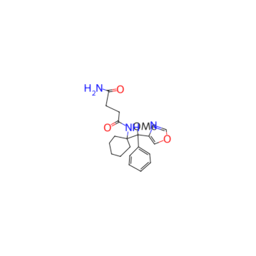 COC(c1ccccc1)(c1cocn1)C1(NC(=O)CCC(N)=O)CCCCC1